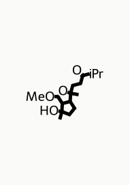 COC1OC(C)(CCC(=O)C(C)C)C2CCC(C)(O)C12